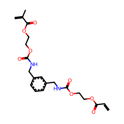 C=CC(=O)OCCOC(=O)NCc1cccc(CNC(=O)OCCOC(=O)C(=C)C)c1